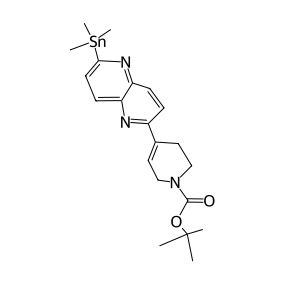 CC(C)(C)OC(=O)N1CC=C(c2ccc3n[c]([Sn]([CH3])([CH3])[CH3])ccc3n2)CC1